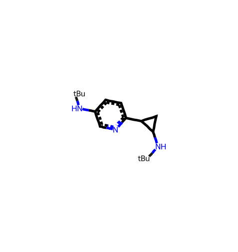 CC(C)(C)Nc1ccc(C2CC2NC(C)(C)C)nc1